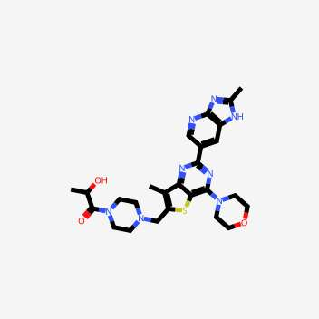 Cc1nc2ncc(-c3nc(N4CCOCC4)c4sc(CN5CCN(C(=O)C(C)O)CC5)c(C)c4n3)cc2[nH]1